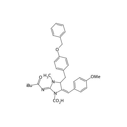 CCC(C)C(=O)N=C1N(C(=O)O)C(=Cc2ccc(OC)cc2)C(Cc2ccc(OCc3ccccc3)cc2)N1C